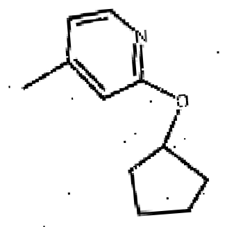 Cc1ccnc(OC2CCCC2)c1